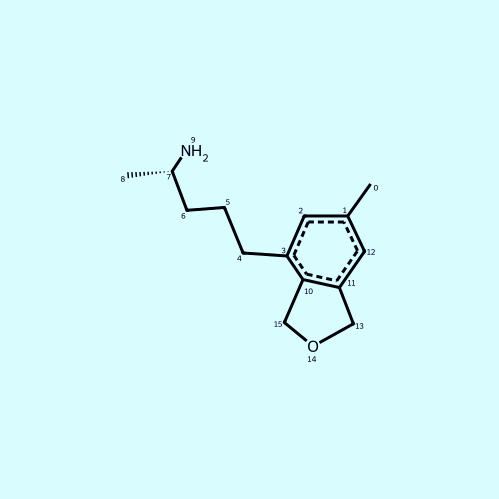 Cc1cc(CCC[C@H](C)N)c2c(c1)COC2